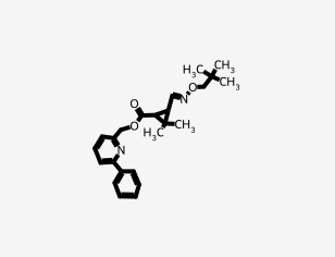 CC(C)(C)CON=CC1C(C(=O)OCc2cccc(-c3ccccc3)n2)C1(C)C